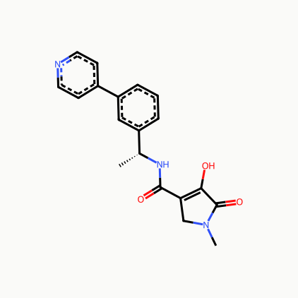 C[C@@H](NC(=O)C1=C(O)C(=O)N(C)C1)c1cccc(-c2ccncc2)c1